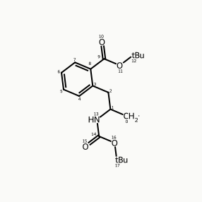 [CH2]C(Cc1ccccc1C(=O)OC(C)(C)C)NC(=O)OC(C)(C)C